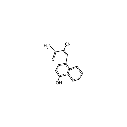 N#CC(=Cc1ccc(O)c2ccccc12)C(N)=S